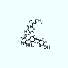 C=CC(=O)N1CCC(CNc2ncnc(N)c2-c2ccc(Oc3ccc(O)cc3)cc2)CC1